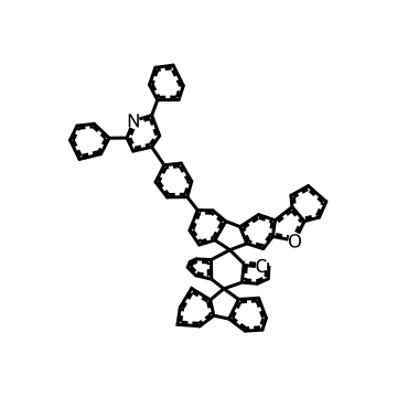 c1ccc(-c2cc(-c3ccc(-c4ccc5c(c4)-c4cc6c(cc4C54c5ccccc5C5(c7ccccc7-c7ccccc75)c5ccccc54)oc4ccccc46)cc3)cc(-c3ccccc3)n2)cc1